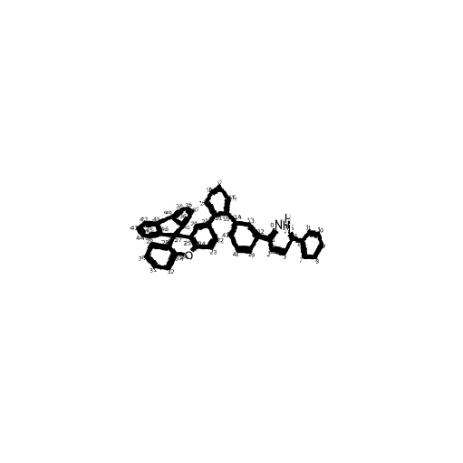 N=C(/C=C\C(=N)c1ccccc1)C1=CC(c2ccccc2-c2ccc3c(c2)C2(c4ccccc4O3)c3ccccc3-c3ccccc32)CC=C1